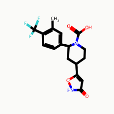 Cc1cc(C2CC(c3cc(=O)[nH]o3)CCN2C(=O)O)ccc1C(F)(F)F